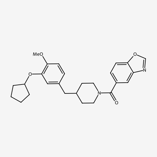 COc1ccc(CC2CCN(C(=O)c3ccc4ocnc4c3)CC2)cc1OC1CCCC1